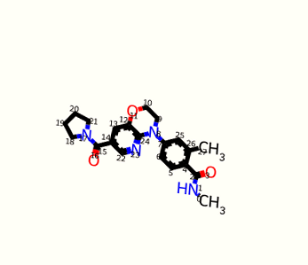 CNC(=O)c1ccc(N2CCOc3cc(C(=O)N4CCCC4)cnc32)cc1C